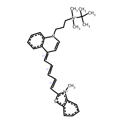 C[n+]1c(/C=C/C=C/C=C2\C=CN(CCC[N+](C)(C)C(C)(C)C)c3ccccc32)sc2ccccc21